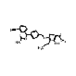 CCCc1c(OCc2ccc(C(OC(C)=O)c3cccc(C#N)c3)cc2)ccc(C(C)=O)c1O